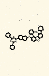 C1=Cc2c(n3c4cccc5c4c4c6c(ccc4n5-c4ccc5cc(-c7nc(-c8ccccc8)nc(-c8ccccc8)n7)ccc5c4)oc4ccc2c3c46)CC1